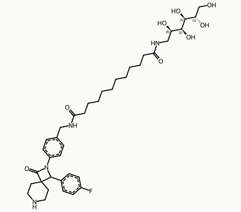 O=C(CCCCCCCCCCC(=O)NC[C@@H](O)[C@H](O)[C@@H](O)[C@@H](O)CO)NCc1ccc(N2C(=O)C3(CCNCC3)C2c2ccc(F)cc2)cc1